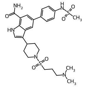 CN(C)CCCS(=O)(=O)N1CCC(c2c[nH]c3c(C(N)=O)cc(-c4ccc(NS(C)(=O)=O)cc4)cc23)CC1